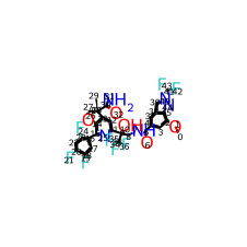 COc1cc(C(=O)NCC(O)(c2cc3c(c(-c4cc(F)c(F)cc4F)n2)OC[C@]3(C)C(N)=O)C(F)(F)F)cc2cn(C(F)F)nc12